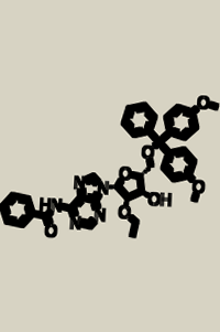 CCO[C@@H]1[C@H](O)[C@@H](COC(c2ccccc2)(c2ccc(OC)cc2)c2ccc(OC)cc2)O[C@H]1n1cnc2c(NC(=O)c3ccccc3)ncnc21